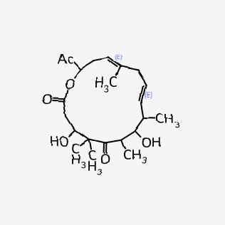 CC(=O)C1C/C=C(\C)C/C=C/C(C)C(O)C(C)C(=O)C(C)(C)C(O)CC(=O)O1